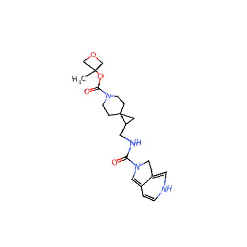 CC1(OC(=O)N2CCC3(CC2)CC3CNC(=O)N2C=C3C=CNC=C3C2)COC1